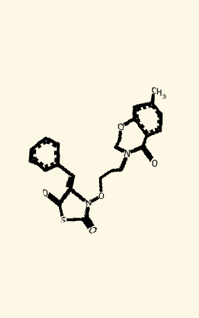 Cc1ccc2c(c1)OCN(CCON1C(=O)SC(=O)C1=Cc1ccccc1)C2=O